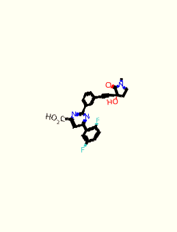 CN1CC[C@@](O)(C#Cc2cccc(-c3nc(C(=O)O)cc(-c4cc(F)ccc4F)n3)c2)C1=O